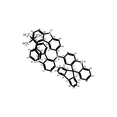 CC(C)(C)c1ccc2c(c1)oc1cccc(N(c3ccc4c(c3)C3(c5ccccc5O4)c4ccccc4-c4ccccc43)c3ccc4sc5cccc(-c6ccccc6)c5c4c3)c12